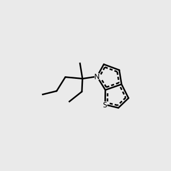 CCCC(C)(CC)n1ccc2ccsc21